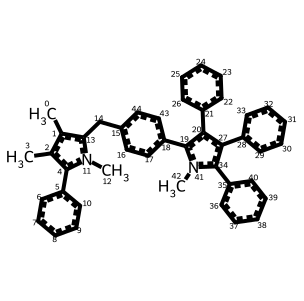 Cc1c(C)c(-c2ccccc2)n(C)c1Cc1ccc(-c2c(-c3ccccc3)c(-c3ccccc3)c(-c3ccccc3)n2C)cc1